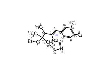 CCOC(C)(C)C(O)/C(=C/c1ccc(Cl)c(Cl)c1)n1cncn1